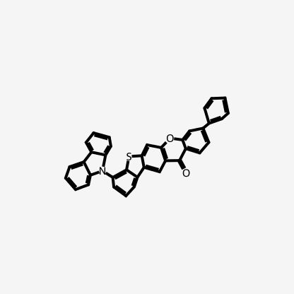 O=c1c2ccc(-c3ccccc3)cc2oc2cc3sc4c(-n5c6ccccc6c6ccccc65)cccc4c3cc12